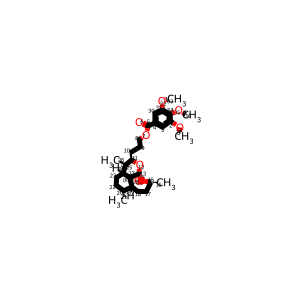 COc1cc(C(=O)OCCC[C@H]2OC3O[C@]4(C)CC[C@H]5[C@H](C)CC[C@@H]([C@H]2C)[C@@]35OO4)cc(OC)c1OC